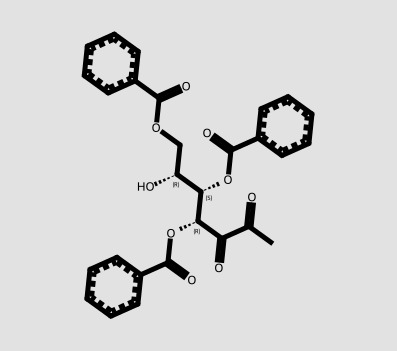 CC(=O)C(=O)[C@H](OC(=O)c1ccccc1)[C@@H](OC(=O)c1ccccc1)[C@H](O)COC(=O)c1ccccc1